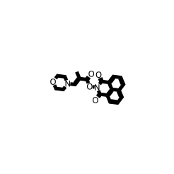 CC(=CN1CCOCC1)C(=O)ON1C(=O)c2cccc3cccc(c23)C1=O